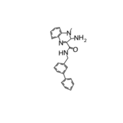 CN1c2ccccc2N=C(C(=O)NCc2cccc(-c3ccccc3)c2)C1N